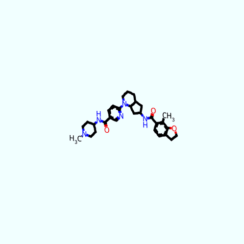 Cc1c(C(=O)NC2CC3CCCN(c4ccc(C(=O)NC5CCN(C)CC5)cn4)C3C2)ccc2c1OCC2